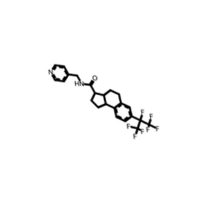 O=C(NCc1ccncc1)C1CCC2c3ccc(C(F)(C(F)(F)F)C(F)(F)F)cc3CCC12